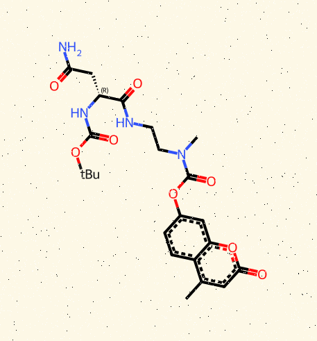 Cc1cc(=O)oc2cc(OC(=O)N(C)CCNC(=O)[C@@H](CC(N)=O)NC(=O)OC(C)(C)C)ccc12